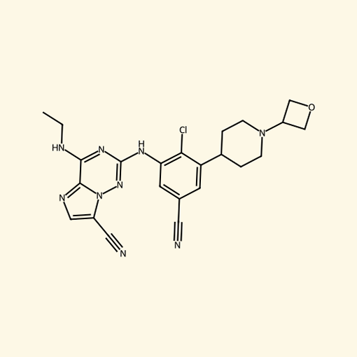 CCNc1nc(Nc2cc(C#N)cc(C3CCN(C4COC4)CC3)c2Cl)nn2c(C#N)cnc12